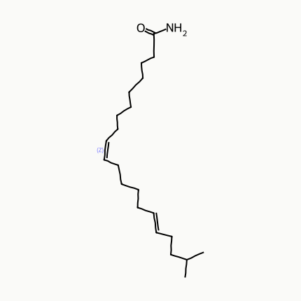 CC(C)CCC=CCCCC/C=C\CCCCCCCC(N)=O